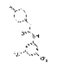 C=C1CCN(CC(=O)Nc2cc(C(F)(F)F)cc(C(F)(F)F)c2)CC1